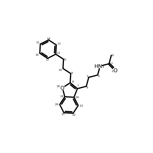 CC(=O)NCCCc1c(CCCc2ccccc2)oc2ccccc12